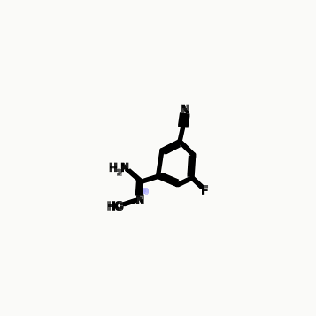 N#Cc1cc(F)cc(/C(N)=N/O)c1